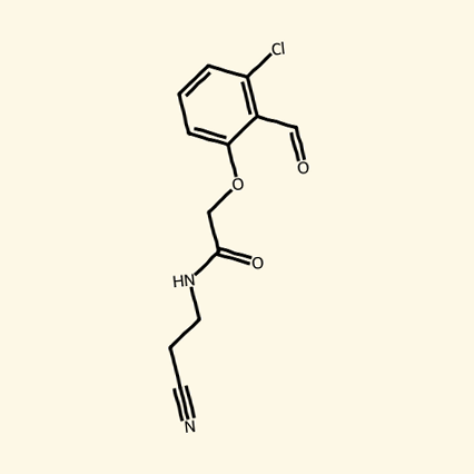 N#CCCNC(=O)COc1cccc(Cl)c1C=O